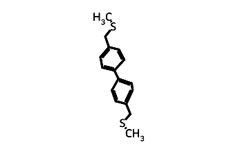 CSCc1ccc(-c2ccc(CSC)cc2)cc1